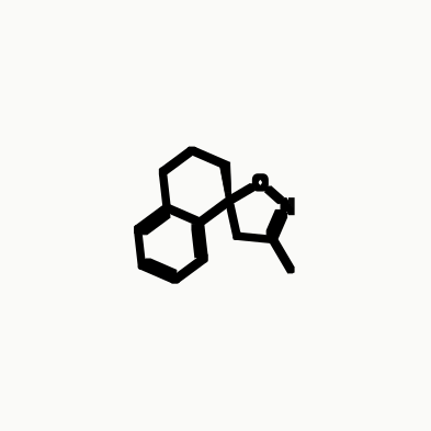 CC1=NO[C@]2(CCCc3ccccc32)C1